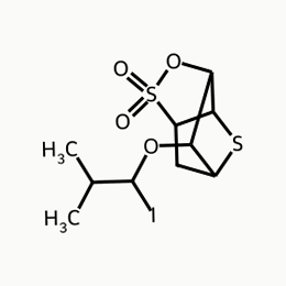 CC(C)C(I)OC1C2CC3C(S2)C1OS3(=O)=O